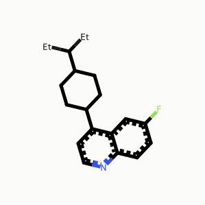 CCC(CC)C1CCC(c2ccnc3ccc(F)cc23)CC1